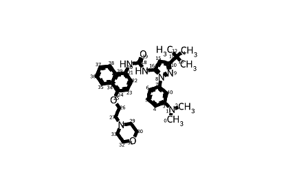 CN(C)c1cccc(-n2nc(C(C)(C)C)cc2NC(=O)Nc2ccc(OCCN3CCOCC3)c3ccccc23)c1